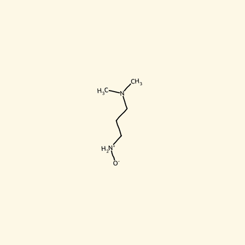 CN(C)CCC[NH2+][O-]